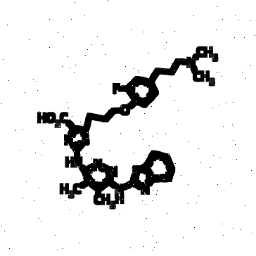 Cc1c(Nc2nc(C(=O)O)c(CCCOc3ccc(CCCN(C)C)cc3F)s2)nnc(Nc2nc3ccccc3s2)c1C